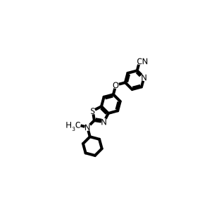 CN(c1nc2ccc(Oc3ccnc(C#N)c3)cc2s1)C1CCCCC1